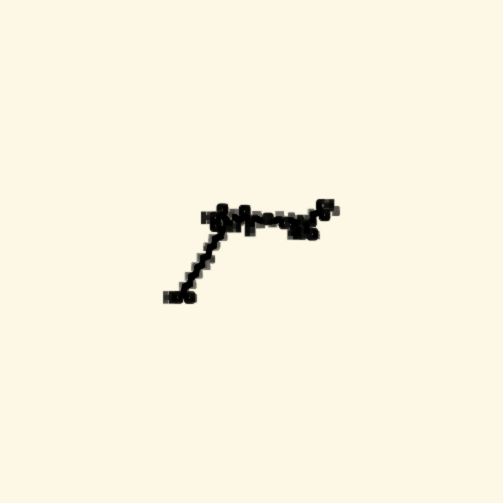 CC(=O)CC[C@H](NC(=O)COCCOCCNC(=O)CC[C@H](NC(=O)CCCCCCCCCCCCC(=O)O)C(=O)O)C(=O)O